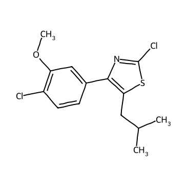 COc1cc(-c2nc(Cl)sc2CC(C)C)ccc1Cl